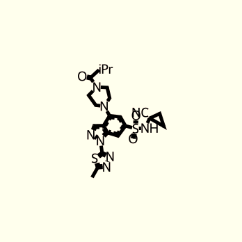 Cc1nnc(-n2ncc3c(N4CCN(C(=O)C(C)C)CC4)cc(S(=O)(=O)NC4(C#N)CC4)cc32)s1